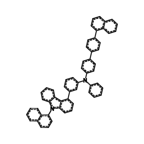 c1ccc(N(c2ccc(-c3ccc(-c4cccc5ccccc45)cc3)cc2)c2cccc(-c3cccc4c3c3ccccc3n4-c3cccc4ccccc34)c2)cc1